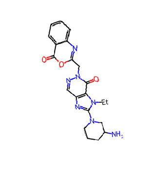 CCn1c(N2CCCC(N)C2)nc2cnn(Cc3nc4ccccc4c(=O)o3)c(=O)c21